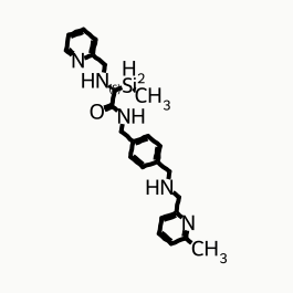 C[SiH2][C@H](NCc1ccccn1)C(=O)NCc1ccc(CNCc2cccc(C)n2)cc1